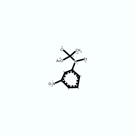 CCN(c1cccc([N+](=O)[O-])c1)C(C)(Cl)OC(C)=O